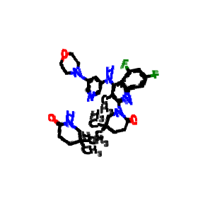 CC1(C)CCC(=O)NC1.Cc1c(N2CC(C)(C)CCC2=O)nc2cc(F)cc(F)c2c1Nc1cncc(N2CCOCC2)c1